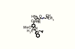 COc1cc(C(=O)NC2CNC[C@@H]2NC(=O)/C=C/CN(C)C)cc2nc(-c3cc4ccccc4n3CC3CC3)n(C)c12